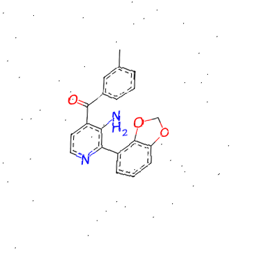 Cc1cccc(C(=O)c2ccnc(-c3cccc4c3OCO4)c2N)c1